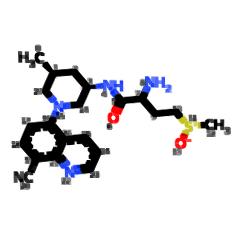 C[C@H]1C[C@@H](NC(=O)C(N)CC[S+](C)[O-])CN(c2ccc(C#N)c3ncccc23)C1